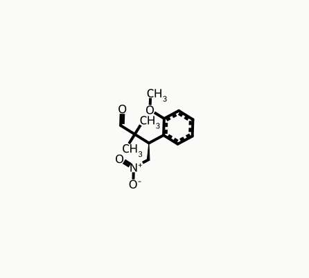 COc1ccccc1[C@@H](C[N+](=O)[O-])C(C)(C)C=O